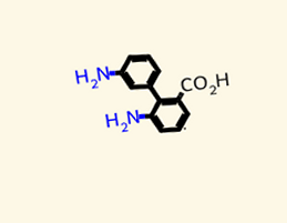 Nc1cccc(-c2c(N)c[c]cc2C(=O)O)c1